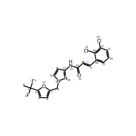 CC(F)(F)c1ccc(Cn2ccc(NC(=O)/C=C/c3cccc(Cl)c3Cl)n2)o1